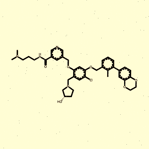 Cc1c(COc2cc(OCc3cncc(C(=O)NCCCN(C)C)c3)c(CN3CC[C@H](O)C3)cc2Cl)cccc1-c1ccc2c(c1)OCCO2